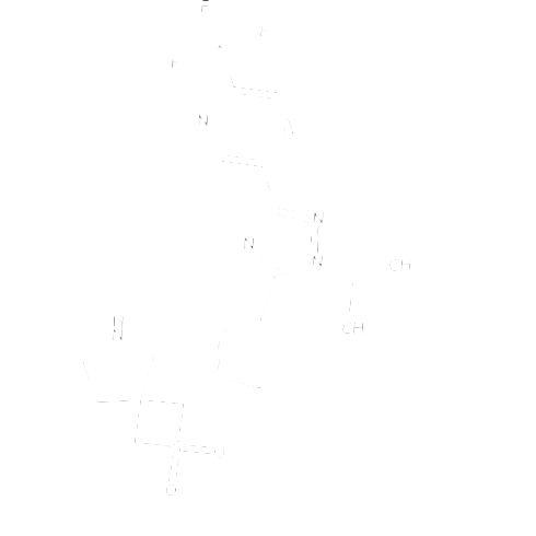 CC(C)n1nc(-c2ccc(C(F)(F)F)nc2)nc1C1CCC(C2C3(CCNC3)CS2(=O)=O)C1